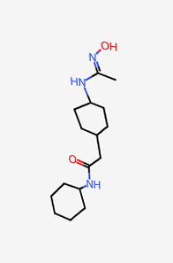 C/C(=N\O)NC1CCC(CC(=O)NC2CCCCC2)CC1